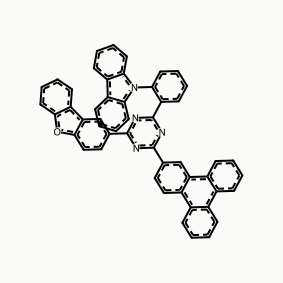 c1ccc(-n2c3ccccc3c3ccccc32)c(-c2nc(-c3ccc4oc5ccccc5c4c3)nc(-c3ccc4c5ccccc5c5ccccc5c4c3)n2)c1